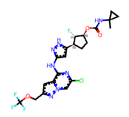 CC1(NC(=O)O[C@H]2CC[C@@H](c3cc(Nc4nc(Cl)cn5nc(COC(F)(F)F)cc45)n[nH]3)[C@@H]2F)CC1